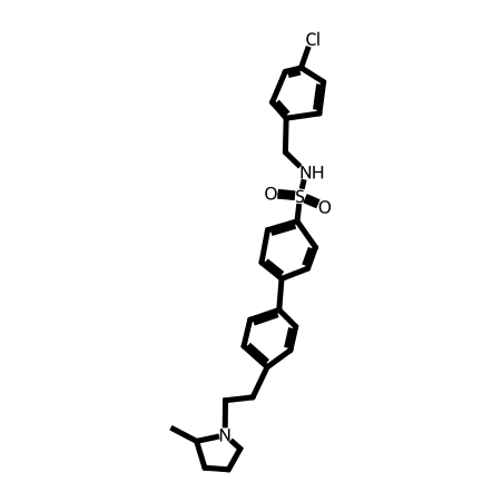 CC1CCCN1CCc1ccc(-c2ccc(S(=O)(=O)NCc3ccc(Cl)cc3)cc2)cc1